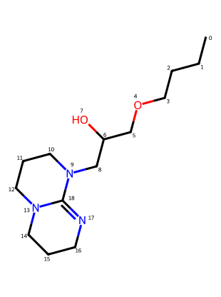 CCCCOCC(O)CN1CCCN2CCCN=C21